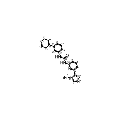 CC(C)n1cnnc1-c1cccc(NC(=O)Nc2cccc(C3=CCN=CC3)c2)n1